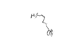 C=C/C=C\C[CH]CCC